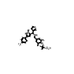 Cc1cc(CNC(c2ccsc2)c2cc(-c3ccc(C(F)(F)F)cc3)nn2C)cc(C)c1OC(C)(C)C(=O)O